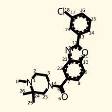 CN1CCN(C(=O)c2ccc3oc(-c4cccc(Cl)c4)nc3c2)CC1(C)C